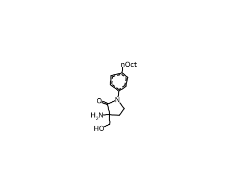 CCCCCCCCc1ccc(N2CCC(N)(CO)C2=O)cc1